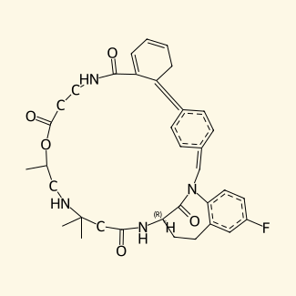 CC1CNC(C)(C)CC(=O)N[C@@H]2CCc3cc(F)ccc3N(C=c3ccc(cc3)=C3CC=CC=C3C(=O)NCCC(=O)O1)C2=O